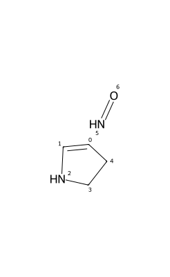 C1=CNCC1.N=O